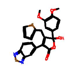 COc1ccc(C2(O)OC(=O)C(c3ccc4nsnc4c3)=C2Cc2cccs2)cc1OC